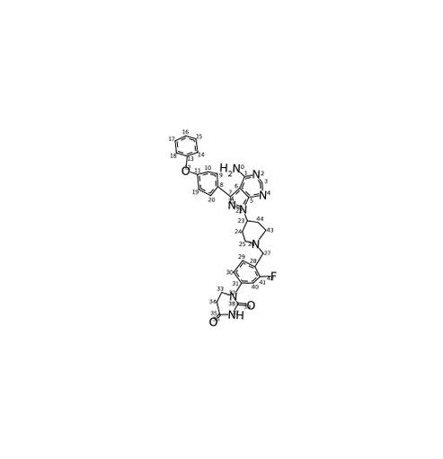 Nc1ncnc2c1c(-c1ccc(Oc3ccccc3)cc1)nn2C1CCN(Cc2ccc(N3CCC(=O)NC3=O)cc2F)CC1